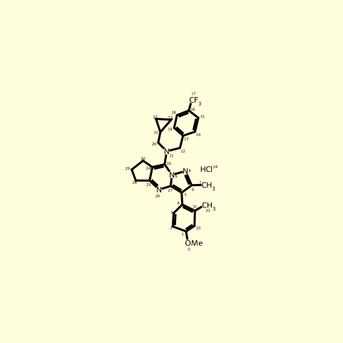 COc1ccc(-c2c(C)nn3c(N(Cc4ccc(C(F)(F)F)cc4)CC4CC4)c4c(nc23)CCC4)c(C)c1.Cl